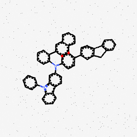 c1ccc(-n2c3ccccc3c3ccc(N(c4ccc(-c5ccc6c(c5)Cc5ccccc5-6)cc4)c4ccccc4-c4ccc5ccccc5c4)cc32)cc1